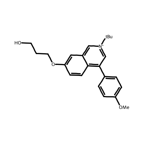 COc1ccc(-c2c[n+](C(C)(C)C)cc3cc(OCCCO)ccc23)cc1